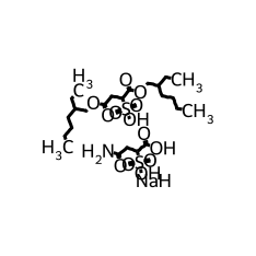 CCCCC(CC)COC(=O)CC(C(=O)OCC(CC)CCCC)S(=O)(=O)O.NC(=O)CC(C(=O)O)S(=O)(=O)O.[NaH]